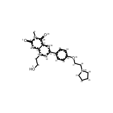 Cn1c(=O)nc2n(CCO)nc(-c3ccc(OCCN4CCCC4)cc3)nc-2c1=O